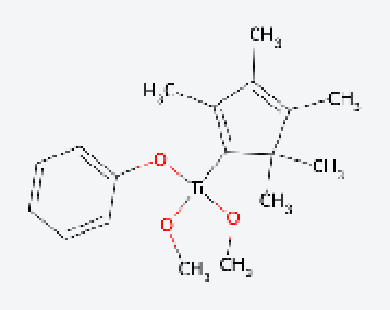 C[O][Ti]([O]C)([O]c1ccccc1)[C]1=C(C)C(C)=C(C)C1(C)C